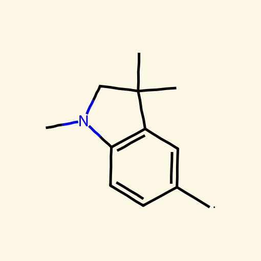 [CH2]c1ccc2c(c1)C(C)(C)CN2C